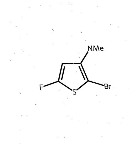 CNc1cc(F)sc1Br